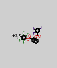 O=C(OC12CC3CC(C1)CC(C(=O)Oc1c(F)c(F)c(S(=O)(=O)O)c(F)c1F)(C3)C2)c1cc(I)cc(I)c1I